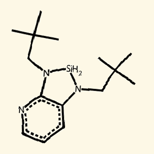 CC(C)(C)CN1[SiH2]N(CC(C)(C)C)c2ncccc21